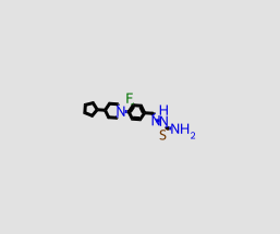 NC(=S)N/N=C/c1ccc(N2CCC(C3CCCC3)CC2)c(F)c1